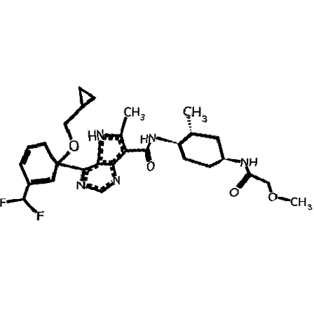 COCC(=O)N[C@H]1CC[C@@H](NC(=O)c2c(C)[nH]c3c(C4(OCC5CC5)C=C(C(F)F)C=CC4)ncnc23)[C@H](C)C1